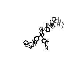 CC(C)(C)OC(=O)N[C@@H]1CCCN(C(=O)c2cc(-c3ccc(C#N)c(F)c3)c(-c3ccc4nn(CC5(OC6CCCCO6)CC5)cc4c3)s2)C1